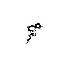 O=C(CCC=S)[PH]1=CCCC2(CCCC2)S1